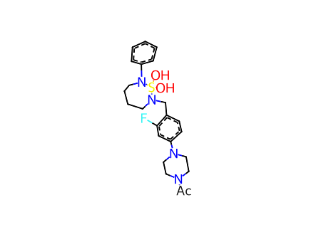 CC(=O)N1CCN(c2ccc(CN3CCCCN(c4ccccc4)S3(O)O)c(F)c2)CC1